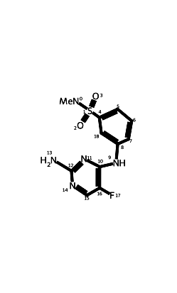 CNS(=O)(=O)c1cccc(Nc2nc(N)ncc2F)c1